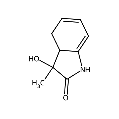 CC1(O)C(=O)NC2=CC=CCC21